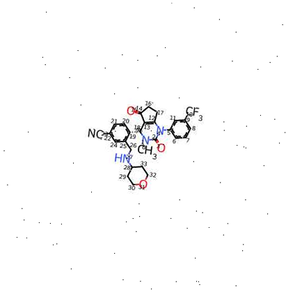 CN1C(=O)N(c2cccc(C(F)(F)F)c2)C2=C(C(=O)CC2)[C@H]1c1ccc(C#N)cc1CNC1CCOCC1